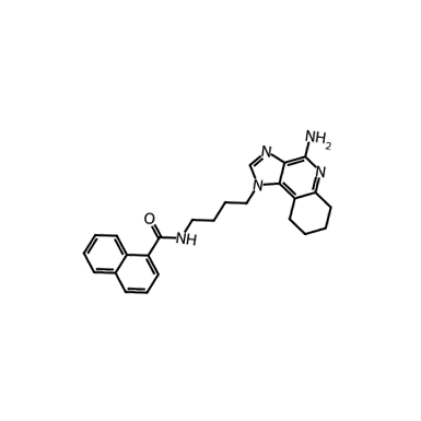 Nc1nc2c(c3c1ncn3CCCCNC(=O)c1cccc3ccccc13)CCCC2